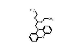 CCOC(CN1c2ccccc2Sc2ccccc21)OCC